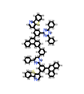 c1ccc(-c2cc(-c3cccc(-c4ccc5c(-c6cc(-c7nc(-c8ccccc8)nc(-c8ccccc8)n7)cc(-c7ccnc8c7sc7ccccc78)c6)cc6ccccc6c5c4)c3)nc(-c3cc(-c4cc5ccccc5c5ccccc45)cc(-c4ccnc5c4sc4ccccc45)c3)n2)cc1